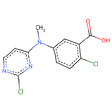 CN(c1ccc(Cl)c(C(=O)O)c1)c1ccnc(Cl)n1